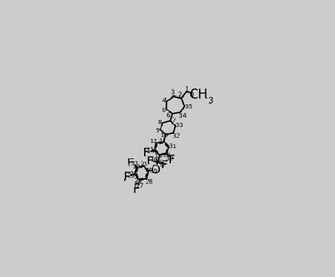 CCC1CCCC(C2CCC(c3cc(F)c(C(F)(F)Oc4cc(F)c(F)c(F)c4)c(F)c3)CC2)CC1